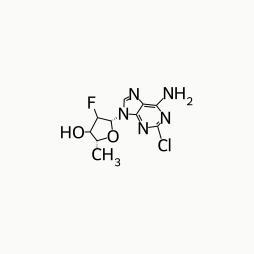 C[C@H]1O[C@@H](n2cnc3c(N)nc(Cl)nc32)C(F)C1O